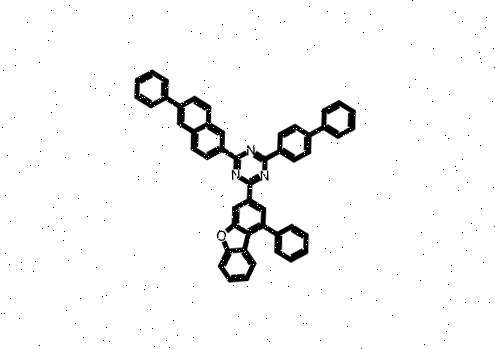 c1ccc(-c2ccc(-c3nc(-c4ccc5cc(-c6ccccc6)ccc5c4)nc(-c4cc(-c5ccccc5)c5c(c4)oc4ccccc45)n3)cc2)cc1